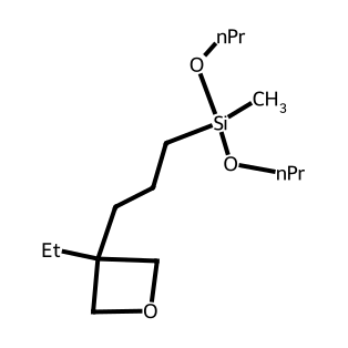 CCCO[Si](C)(CCCC1(CC)COC1)OCCC